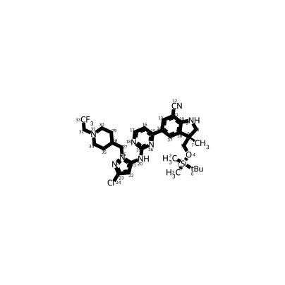 CC(C)(C)[Si](C)(C)OC[C@@]1(C)CNc2c(C#N)cc(-c3ccnc(Nc4cc(Cl)nn4CC4CCN(CC(F)(F)F)CC4)n3)cc21